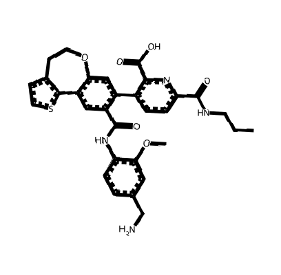 CCCNC(=O)c1ccc(-c2cc3c(cc2C(=O)Nc2ccc(CN)cc2OC)-c2sccc2CCO3)c(C(=O)O)n1